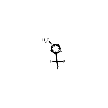 Cn1[c]c(C(F)(F)F)nc1